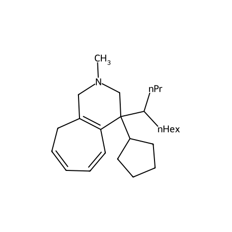 CCCCCCC(CCC)C1(C2CCCC2)CN(C)CC2=C1C=CC=CC2